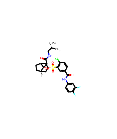 CO[C@H](C)CNC(=O)C[C@]1(O)C2CC[C@@H]1C[C@@H](S(=O)(=O)c1cc(C(=O)Nc3ccc(F)c(F)c3)ccc1Cl)C2